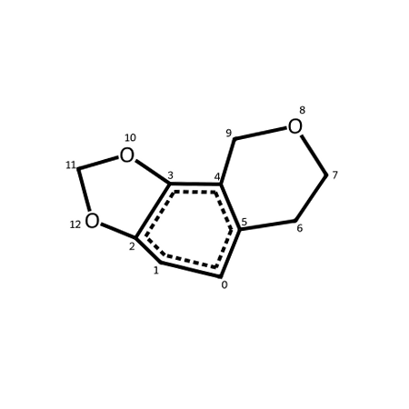 c1cc2c(c3c1CCOC3)OCO2